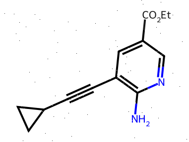 CCOC(=O)c1cnc(N)c(C#CC2CC2)c1